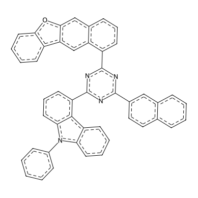 c1ccc(-n2c3ccccc3c3c(-c4nc(-c5ccc6ccccc6c5)nc(-c5cccc6cc7oc8ccccc8c7cc56)n4)cccc32)cc1